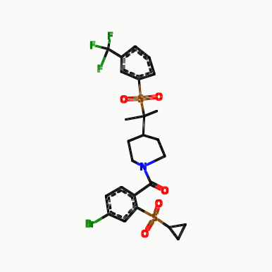 CC(C)(C1CCN(C(=O)c2ccc(Br)cc2S(=O)(=O)C2CC2)CC1)S(=O)(=O)c1cccc(C(F)(F)F)c1